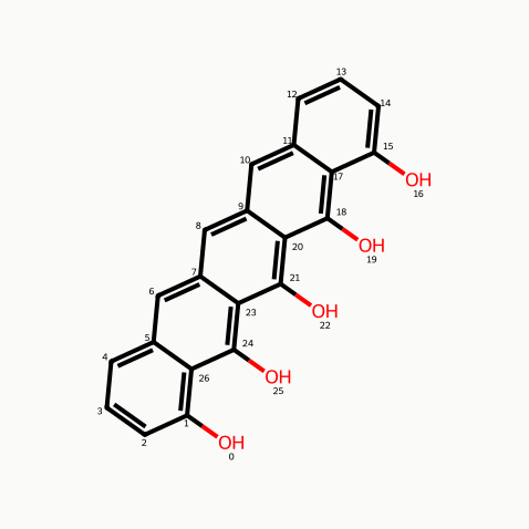 Oc1cccc2cc3cc4cc5cccc(O)c5c(O)c4c(O)c3c(O)c12